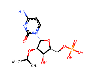 COC(C)O[C@@H]1[C@H](O)[C@@H](COP(=O)(O)O)O[C@H]1n1ccc(N)nc1=O